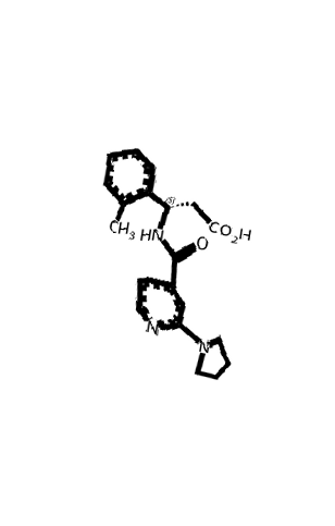 Cc1ccccc1[C@H](CC(=O)O)NC(=O)c1ccnc(N2CCCC2)c1